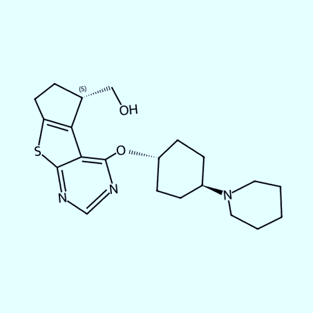 OC[C@H]1CCc2sc3ncnc(O[C@H]4CC[C@H](N5CCCCC5)CC4)c3c21